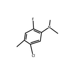 Cc1cc(F)c(N(C)C)cc1Cl